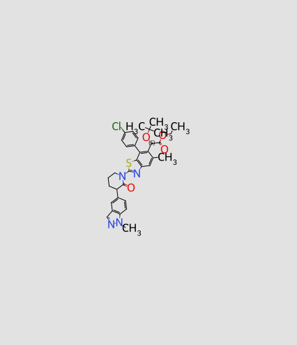 CCOC(=O)[C@@H](OC(C)(C)C)c1c(C)cc2nc(N3CCCC(c4ccc5c(cnn5C)c4)C3=O)sc2c1-c1ccc(Cl)cc1